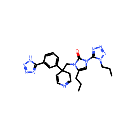 CCCc1cn(-c2nnnn2CCC)c(=O)n1CC1(c2cccc(-c3nnn[nH]3)c2)C=CN=CC1